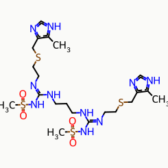 Cc1[nH]cnc1CSCC/N=C(\NCCCN/C(=N\CCSCc1nc[nH]c1C)NS(C)(=O)=O)NS(C)(=O)=O